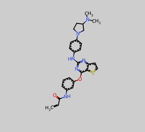 C=CC(=O)Nc1cccc(Oc2nc(Nc3ccc(N4CCC(N(C)C)C4)cc3)nc3ccsc23)c1